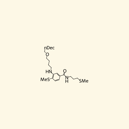 CCCCCCCCCCCOCCCCNc1cc(C(=O)NCCCSC)ccc1SC